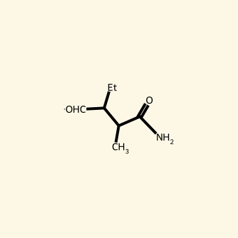 CCC([C]=O)C(C)C(N)=O